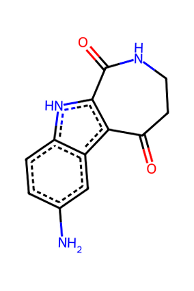 Nc1ccc2[nH]c3c(c2c1)C(=O)CCNC3=O